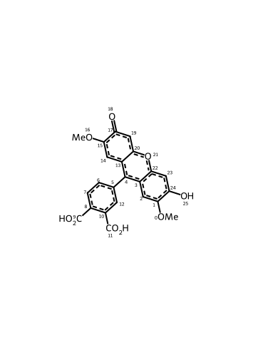 COc1cc2c(-c3ccc(C(=O)O)c(C(=O)O)c3)c3cc(OC)c(=O)cc-3oc2cc1O